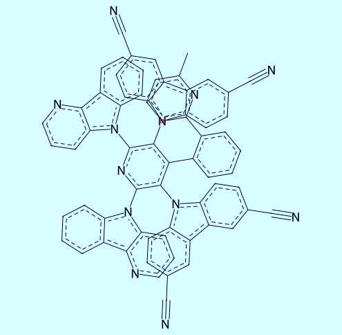 Cc1cccc(-c2ccccc2-c2c(-n3c4ccc(C#N)cc4c4cc(C#N)ccc43)c(-n3c4ccccc4c4ncccc43)nc(-n3c4ccccc4c4ncccc43)c2-n2c3ccc(C#N)cc3c3cc(C#N)ccc32)n1